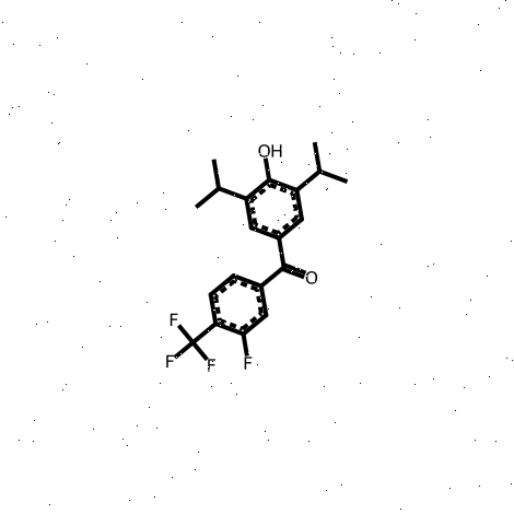 CC(C)c1cc(C(=O)c2ccc(C(F)(F)F)c(F)c2)cc(C(C)C)c1O